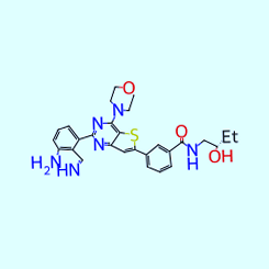 CC[C@H](O)CNC(=O)c1cccc(-c2cc3nc(-c4cccc(N)c4C=N)nc(N4CCOCC4)c3s2)c1